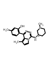 Cc1ccc(-c2nnc(N[C@@H]3CCCN(C)C3)n3ccc(C)c23)c(O)c1